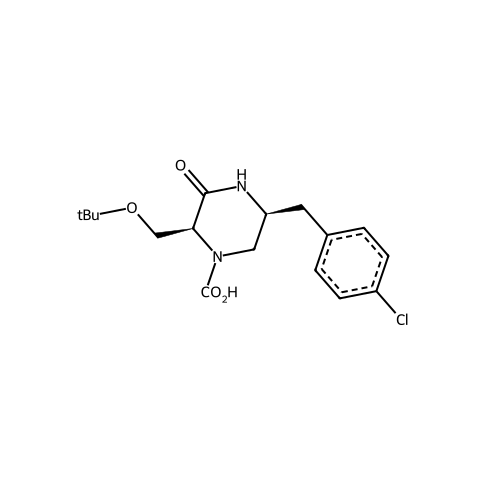 CC(C)(C)OC[C@H]1C(=O)N[C@@H](Cc2ccc(Cl)cc2)CN1C(=O)O